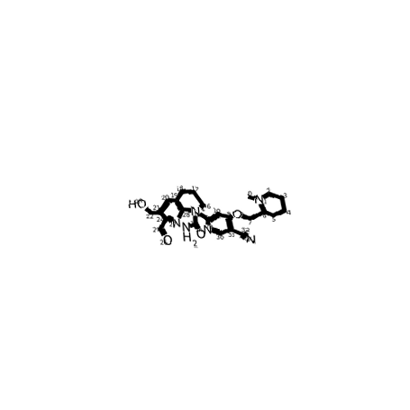 CN1CCCCC1COc1cc([N+]2(C(N)=O)CCCc3cc(CO)c(C=O)nc32)ncc1C#N